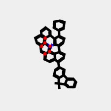 CC1(C)c2ccccc2-c2cc(-c3ccc4c5c(cccc35)N(c3ccccc3)c3c-4ccc(-c4ccccc4)c3-c3ccccc3-c3ccccc3)ccc21